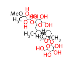 C=C1CC2CCC3[C@](C)(C(=O)OC4OC(CO)C(O)C(O)C4O)CCC[C@@]3(C)[C@@H]2CC1CC1OC(CO)C(O)C(O)C1OC(O)C(O)C(O)C(C)OC